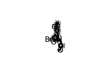 COc1ccc(Cn2cc3c(n2)N(CC2CCN(C(=O)OC(C)(C)C)CC2)CCC(Br)C3=O)cc1